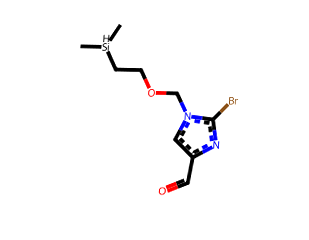 C[SiH](C)CCOCn1cc(C=O)nc1Br